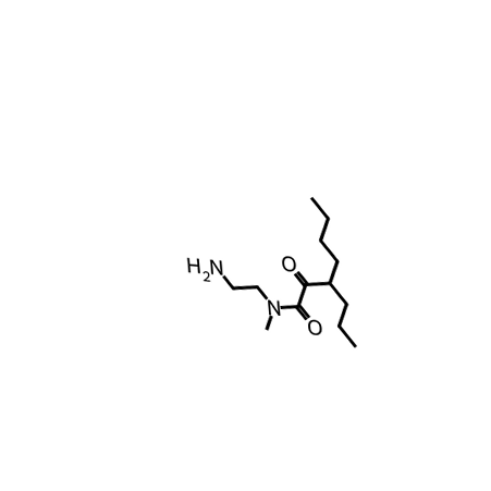 CCCCC(CCC)C(=O)C(=O)N(C)CCN